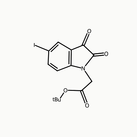 CC(C)(C)OC(=O)CN1C(=O)C(=O)c2cc(I)ccc21